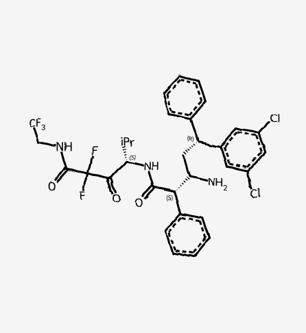 CC(C)[C@H](NC(=O)[C@@H](c1ccccc1)C(N)C[C@H](c1ccccc1)c1cc(Cl)cc(Cl)c1)C(=O)C(F)(F)C(=O)NCC(F)(F)F